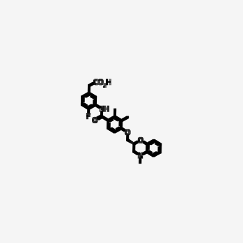 Cc1c(OC[C@@H]2CN(C)c3ccccc3O2)ccc(C(=O)Nc2cc(CC(=O)O)ccc2F)c1C